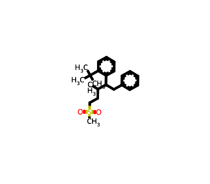 CC(CCS(C)(=O)=O)[C](Cc1ccccc1)c1ccccc1C(C)(C)C